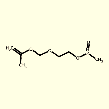 C=C(C)OCOCCO[PH](C)=O